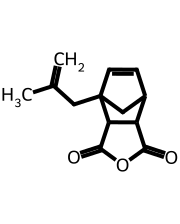 C=C(C)CC12C=CC(C1)C1C(=O)OC(=O)C12